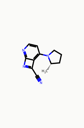 C[C@H]1CCCN1c1ccnc2c1C(C#N)=N2